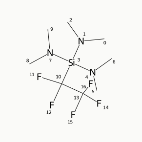 CN(C)[Si](N(C)C)(N(C)C)C(F)(F)C(F)(F)F